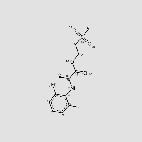 CCc1cccc(C)c1N[C@@H](C)C(=O)OCCS(C)(=O)=O